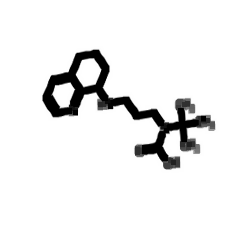 CC(C)(C)N(CCCNC1CCCc2cccnc21)C(=O)O